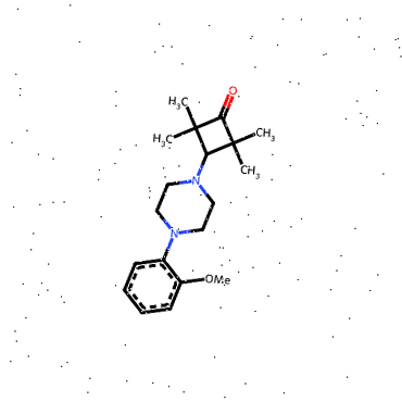 COc1ccccc1N1CCN(C2C(C)(C)C(=O)C2(C)C)CC1